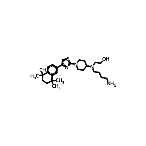 CC1(C)CCC(C)(C)c2cc(-c3csc(N4CCC(N(CCO)CCCCN)CC4)n3)ccc21